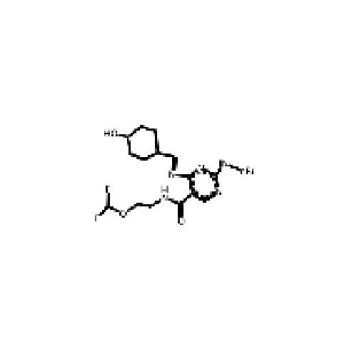 CCCCNc1ncc(C(=O)NCCOC(F)F)c(/N=C/C2CCC(O)CC2)n1